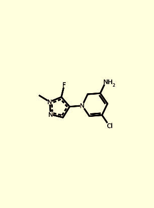 Cn1ncc(N2C=C(Cl)C=C(N)C2)c1F